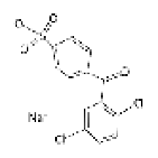 O=C(c1ccc(S(=O)(=O)[O-])cc1)c1cc(Cl)ccc1Cl.[Na+]